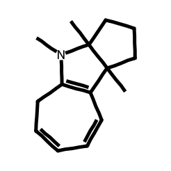 CN1C2=C(C=CC=CC2)C2(C)CCCC12C